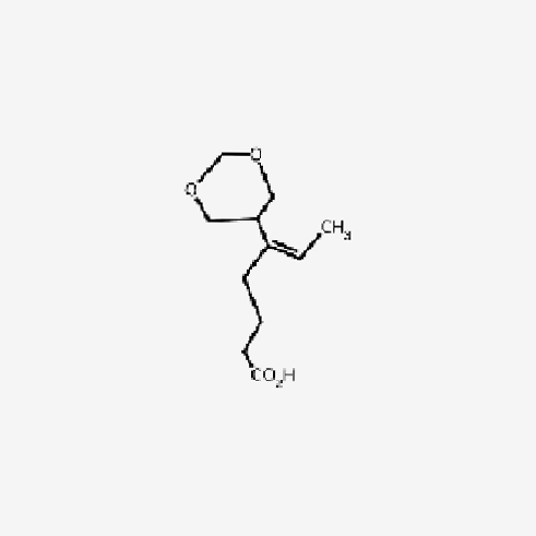 C/C=C(/CCCC(=O)O)C1COCOC1